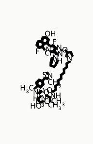 C#Cc1c(F)ccc2cc(O)cc(-c3ncc4c(N5CC6CCC(C5)N6)nc(OC5CCN(CCCCCCCCCCCC(=O)N[C@H](C(=O)N6C[C@H](O)C[C@H]6C(=O)N[C@@H](C)c6ccc(-c7scnc7C)cc6)C(C)(C)C)C5)nc4c3F)c12